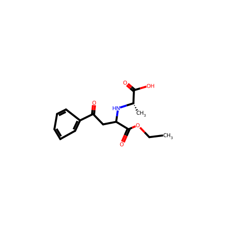 CCOC(=O)C(CC(=O)c1ccccc1)N[C@@H](C)C(=O)O